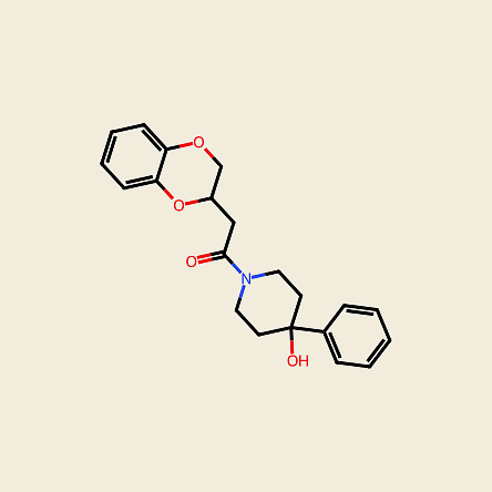 O=C(CC1COc2ccccc2O1)N1CCC(O)(c2ccccc2)CC1